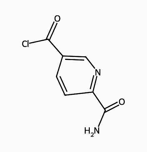 NC(=O)c1ccc(C(=O)Cl)cn1